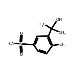 Cc1ccc(S(N)(=O)=O)cc1C(C)(C)O